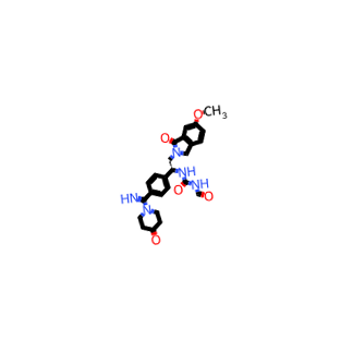 COc1ccc2c(c1)C(=O)N(C[C@H](NC(=O)NC=O)c1ccc(C(=N)N3CCC(=O)CC3)cc1)C2